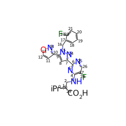 CC(C)[C@@H](CNc1nc(-c2cc(-c3ccon3)n(Cc3ccccc3F)n2)ncc1F)C(=O)O